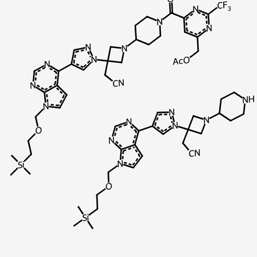 CC(=O)OCc1cc(C(=O)N2CCC(N3CC(CC#N)(n4cc(-c5ncnc6c5ccn6COCC[Si](C)(C)C)cn4)C3)CC2)nc(C(F)(F)F)n1.C[Si](C)(C)CCOCn1ccc2c(-c3cnn(C4(CC#N)CN(C5CCNCC5)C4)c3)ncnc21